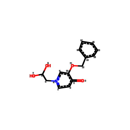 O=c1ccn(CC(O)O)cc1OCc1ccccc1